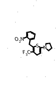 O=[N+]([O-])c1ccccc1CC1=C(C(F)(F)F)C[C]=C(N2CCCC2)S1